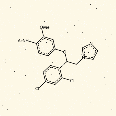 COc1cc(OC(Cn2ccnc2)c2ccc(Cl)cc2Cl)ccc1NC(C)=O